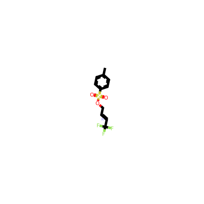 Cc1ccc(S(=O)(=O)OC/C=C/C(F)(F)F)cc1